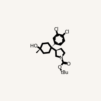 CC(C)(C)OC(=O)N1CC[C@H]([C@]2(c3ccc(Cl)c(Cl)c3)CC[C@@](C)(O)CC2)C1